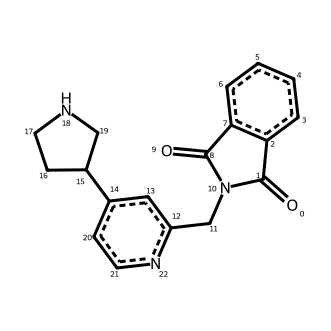 O=C1c2ccccc2C(=O)N1Cc1cc(C2CCNC2)ccn1